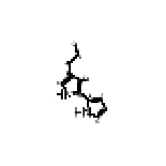 CCCc1c[nH]c(-c2ccc[nH]2)c1